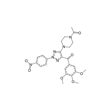 COc1cc(C(=O)c2nn(-c3ccc([N+](=O)[O-])cc3)nc2N2CCN(C(C)=O)CC2)cc(OC)c1OC